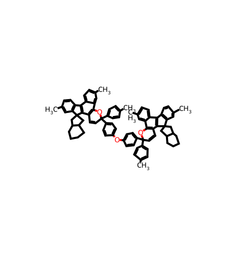 Cc1ccc(C2(c3ccc(Oc4ccc(C5(c6ccc(C)cc6)C=Cc6c7c(c8ccc(C)cc8c6O5)-c5ccc(C)cc5C75CC6CCCCC6C5)cc4)cc3)C=Cc3c4c(c5ccc(C)cc5c3O2)-c2ccc(C)cc2C42CC3CCCCC3C2)cc1